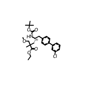 CCOC(=O)C(C)(COC)C[C@@H](Cc1ccc(-c2cccc(Cl)c2)cc1)NC(=O)OC(C)(C)C